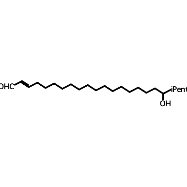 CCCC(C)C(O)CCCCCCCCCCCCCCCC=CC=O